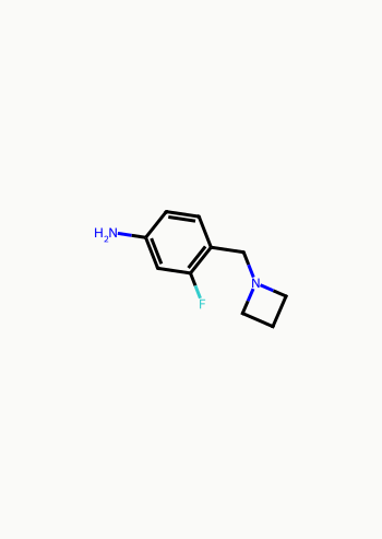 Nc1ccc(CN2CCC2)c(F)c1